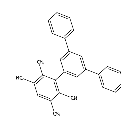 N#Cc1cc(C#N)c(C#N)c(-c2cc(-c3ccccc3)cc(-c3ccccc3)c2)c1C#N